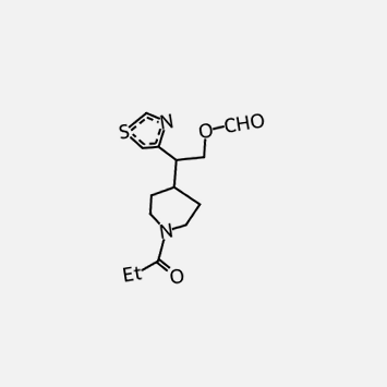 CCC(=O)N1CCC(C(COC=O)c2cscn2)CC1